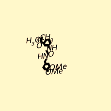 COc1ccc(CCNC(=O)CNc2cccc(C(=O)N(C)C)c2)cc1OC